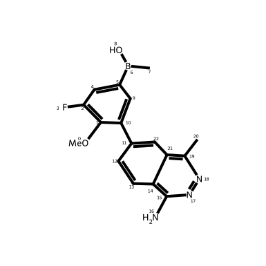 COc1c(F)cc(B(C)O)cc1-c1ccc2c(N)nnc(C)c2c1